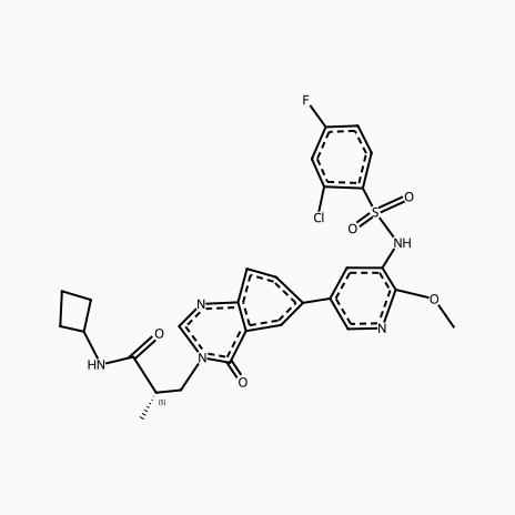 COc1ncc(-c2ccc3ncn(C[C@H](C)C(=O)NC4CCC4)c(=O)c3c2)cc1NS(=O)(=O)c1ccc(F)cc1Cl